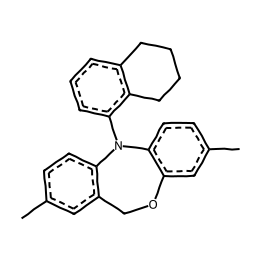 Cc1ccc2c(c1)COc1cc(C)ccc1N2c1cccc2c1CCCC2